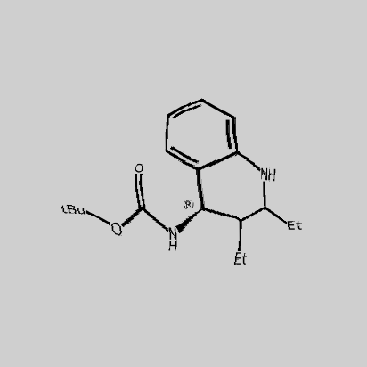 CCC1Nc2ccccc2[C@H](NC(=O)OC(C)(C)C)C1CC